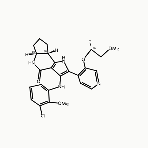 COC[C@@H](C)Oc1cnccc1-c1[nH]c2c(c1Nc1cccc(Cl)c1OC)C(=O)N[C@@H]1CCC[C@H]21